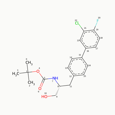 CC(C)(C)OC(=O)N[C@@H](CO)Cc1ccc(-c2ccc(F)c(Cl)c2)cc1